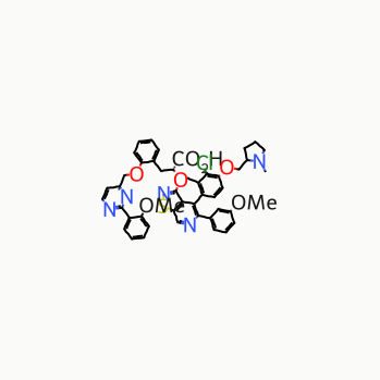 COc1cccc(-c2ncc3snc(O[C@H](Cc4ccccc4OCc4ccnc(-c5ccccc5OC)n4)C(=O)O)c3c2-c2ccc(OCC3CCCN3C)c(Cl)c2C)c1